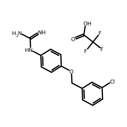 N=C(N)Nc1ccc(OCc2cccc(Cl)c2)cc1.O=C(O)C(F)(F)F